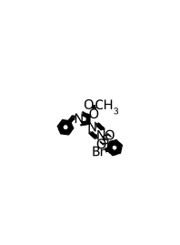 CC(=O)O[C@@H]1CN(Cc2ccccc2)C[C@@H]1N1CCN(S(=O)(=O)c2ccccc2Br)CC1